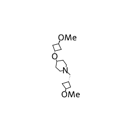 CO[C@H]1C[C@H](CN2CCC(O[C@H]3C[C@H](OC)C3)CC2)C1